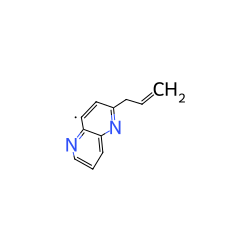 C=CCc1c[c]c2ncccc2n1